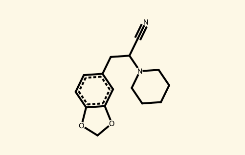 N#CC(Cc1ccc2c(c1)OCO2)N1CCCCC1